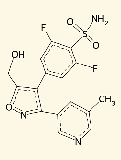 Cc1cncc(-c2noc(CO)c2-c2cc(F)c(S(N)(=O)=O)c(F)c2)c1